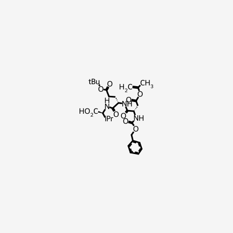 C=C(C)OC(=O)C[C@H](NC(=O)OCc1ccccc1)C(=O)N[C@@H](CCC(=O)OC(C)(C)C)C(=O)N[C@H](C(=O)O)C(C)C